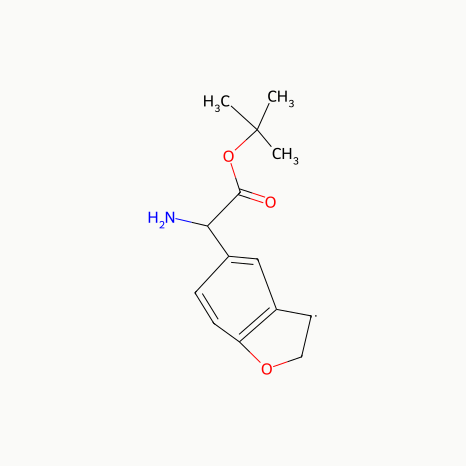 CC(C)(C)OC(=O)C(N)c1ccc2c(c1)[CH]CO2